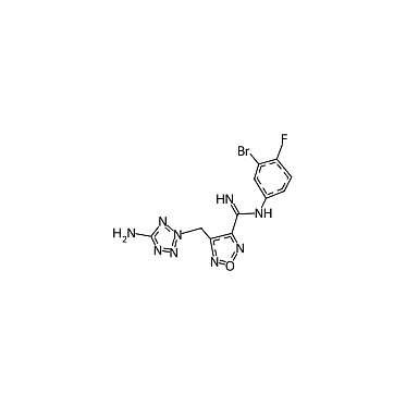 N=C(Nc1ccc(F)c(Br)c1)c1nonc1Cn1nnc(N)n1